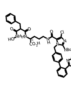 CCCCc1nc(Cl)c(C(=O)NCCC[C@H](NC(=O)C(Cc2ccccc2)C(=O)NO)C(=O)O)n1Cc1ccc(-c2ccccc2-c2nnn[nH]2)cc1